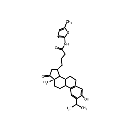 Cc1cnc(NC(=O)CCC[C@@H]2CC(=O)[C@@]3(C)CCC4c5cc(C(C)C)c(O)cc5CCC4C23)s1